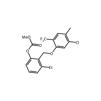 CCc1cccc(OC(=O)OC)c1COc1cc(Cl)c(C)cc1C(F)(F)F